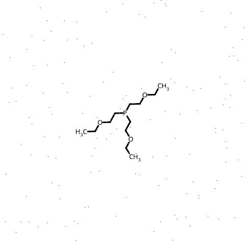 CCOCCP(CCOCC)CCOCC